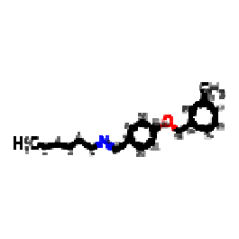 CCCCCCN=Cc1ccc(OCc2cccc(C)c2)cc1